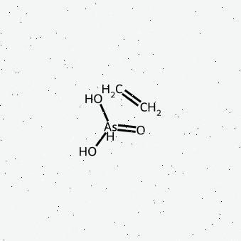 C=C.O=[AsH](O)O